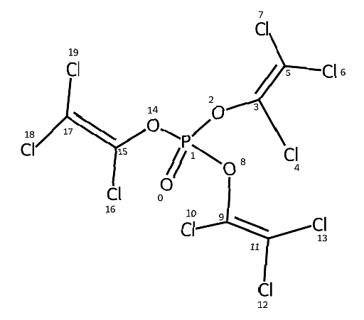 O=P(OC(Cl)=C(Cl)Cl)(OC(Cl)=C(Cl)Cl)OC(Cl)=C(Cl)Cl